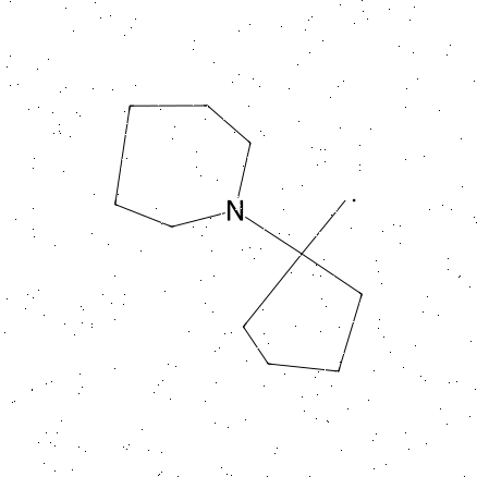 [CH2]C1(N2CCCCC2)CCCC1